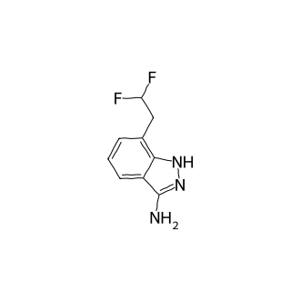 Nc1n[nH]c2c(CC(F)F)cccc12